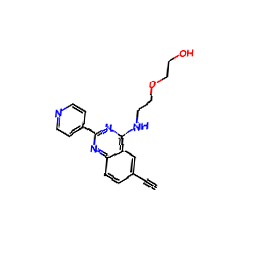 C#Cc1ccc2nc(-c3ccncc3)nc(NCCOCCO)c2c1